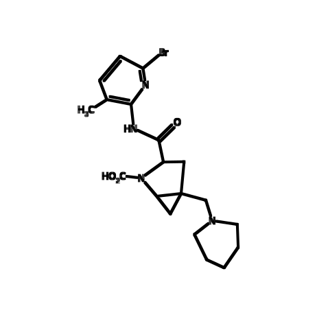 Cc1ccc(Br)nc1NC(=O)C1CC2(CN3CCCCC3)CC2N1C(=O)O